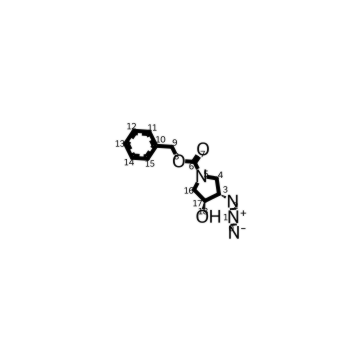 [N-]=[N+]=N[C@H]1CN(C(=O)OCc2ccccc2)C[C@@H]1O